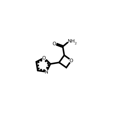 NC(=O)C1OC[C]1c1ncco1